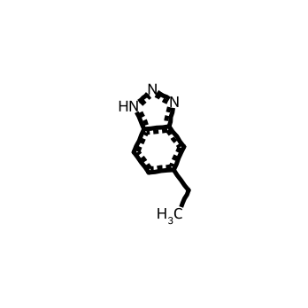 CCc1ccc2[nH]nnc2c1